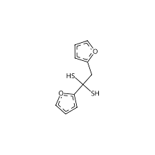 SC(S)(Cc1ccco1)c1ccco1